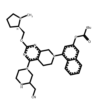 CN1CCC[C@@H]1COc1nc2c(c(N3CCNC(CC#N)C3)n1)CCN(c1cc(OC(=O)C(C)(C)C)cc3ccccc13)C2